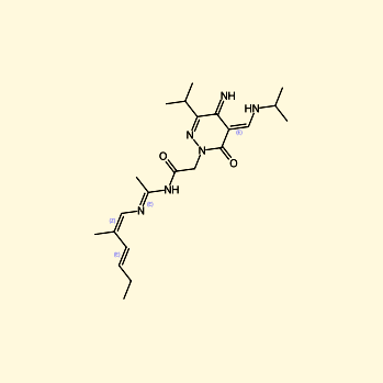 CC/C=C/C(C)=C\N=C(/C)NC(=O)CN1N=C(C(C)C)C(=N)/C(=C\NC(C)C)C1=O